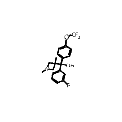 CN1CC(C)([C@](O)(c2ccc(OC(F)(F)F)cc2)c2cccc(F)c2)C1